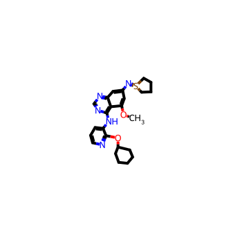 COc1cc(N=S2CCCC2)cc2ncnc(Nc3cccnc3OC3CCCCC3)c12